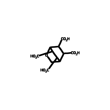 O=C(O)C1C2COC(C1C(=O)O)C(C(=O)O)C2C(=O)O